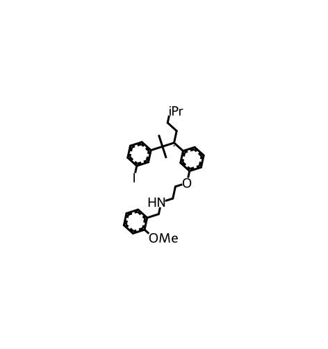 COc1ccccc1CNCCOc1cccc([C](CCC(C)C)C(C)(C)c2cccc(I)c2)c1